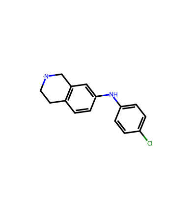 Clc1ccc(Nc2ccc3c(c2)C[N]CC3)cc1